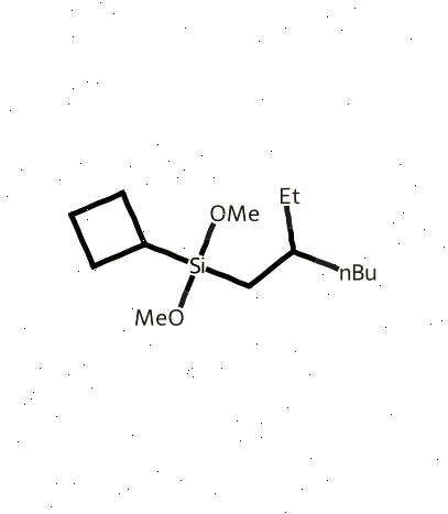 CCCCC(CC)C[Si](OC)(OC)C1CCC1